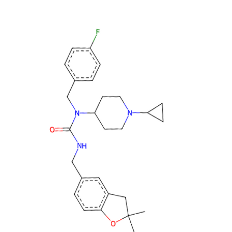 CC1(C)Cc2cc(CNC(=O)N(Cc3ccc(F)cc3)C3CCN(C4CC4)CC3)ccc2O1